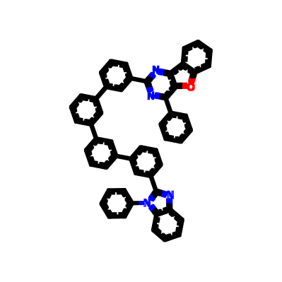 c1ccc(-c2nc(-c3cccc(-c4cccc(-c5cccc(-c6cccc(-c7nc8ccccc8n7-c7ccccc7)c6)c5)c4)c3)nc3c2oc2ccccc23)cc1